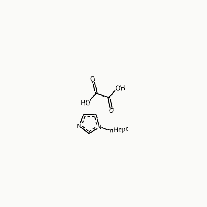 CCCCCCCn1ccnc1.O=C(O)C(=O)O